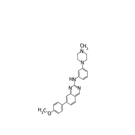 COc1ccc(-c2ccc3cnc(Nc4cccc(N5CCN(C)CC5)c4)nc3c2)cc1